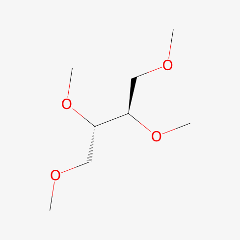 COC[C@H](OC)[C@@H](COC)OC